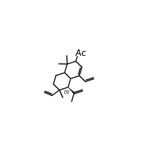 C=CC1=CC(C(C)=O)C(C)(C)C2CCC(C)(C=C)[C@H](C(=C)C)C12